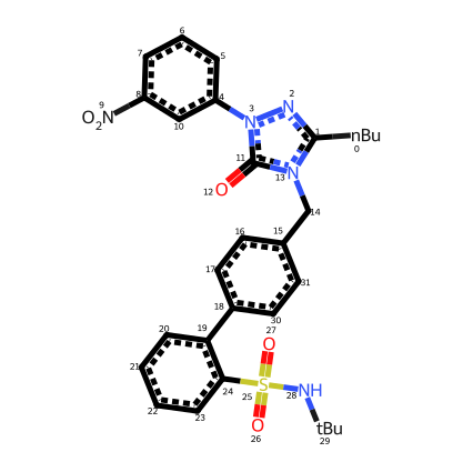 CCCCc1nn(-c2cccc([N+](=O)[O-])c2)c(=O)n1Cc1ccc(-c2ccccc2S(=O)(=O)NC(C)(C)C)cc1